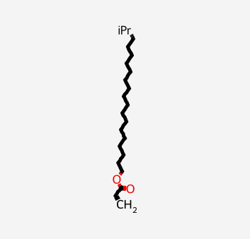 C=CC(=O)OCCCCCCCCCCCCCCCCCC(C)C